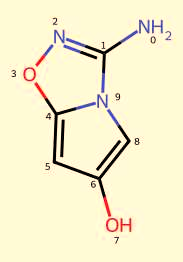 Nc1noc2cc(O)cn12